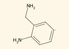 NCc1c[c]ccc1N